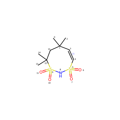 CC1(C)/C=C\S(=O)(=O)NS(=O)(=O)C(C)(C)C1